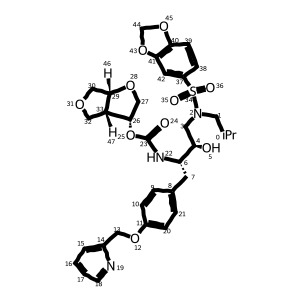 CC(C)CN(C[C@@H](O)[C@H](Cc1ccc(OCc2ccccn2)cc1)NC(=O)O[C@H]1CO[C@H]2COC[C@H]21)S(=O)(=O)c1ccc2c(c1)OCO2